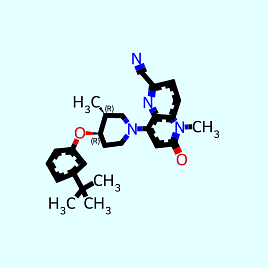 C[C@@H]1CN(c2cc(=O)n(C)c3ccc(C#N)nc23)CC[C@H]1Oc1cccc(C(C)(C)C)c1